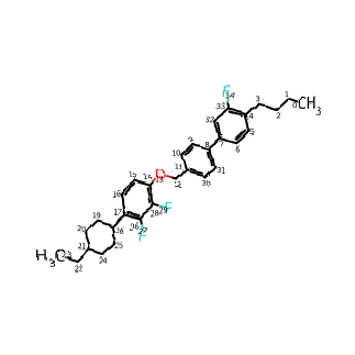 CCCCc1ccc(-c2ccc(COc3ccc(C4CCC(CC)CC4)c(F)c3F)cc2)cc1F